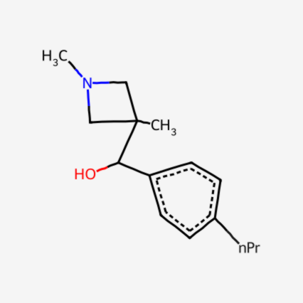 CCCc1ccc(C(O)C2(C)CN(C)C2)cc1